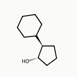 O[C@H]1CCC[C@@H]1C1CCCCC1